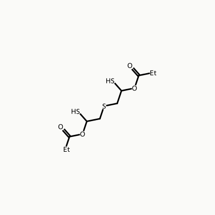 CCC(=O)OC(S)CSCC(S)OC(=O)CC